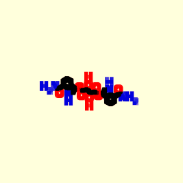 NC(=O)c1cccc2c(OC(=O)C(O)C(O)C(=O)Oc3c[nH]c4c(C(N)=O)cccc34)c[nH]c12